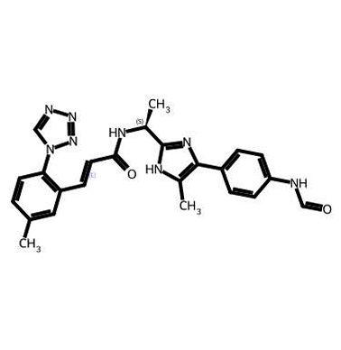 Cc1ccc(-n2cnnn2)c(/C=C/C(=O)N[C@@H](C)c2nc(-c3ccc(NC=O)cc3)c(C)[nH]2)c1